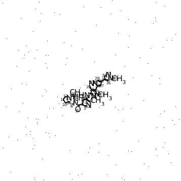 Cc1ncc(C(=O)NC[C@@H]2CCCN2C(C)C)cc1Nc1nn(C)c2c1cnn1cc(-c3cnn(C)c3)cc21